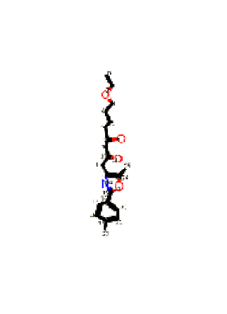 CCOCCCCC(=O)CC(=O)Cc1nc(-c2ccc(C)cc2)oc1C